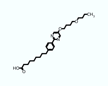 CCCCOCCCCOc1cnc(-c2ccc(CCCCCCCCC(=O)O)cc2)nc1